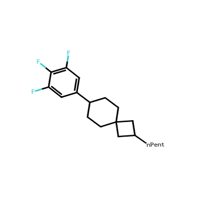 CCCCCC1CC2(CCC(c3cc(F)c(F)c(F)c3)CC2)C1